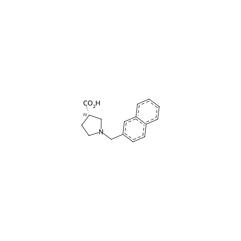 O=C(O)[C@H]1CCN(Cc2ccc3ccccc3c2)C1